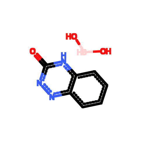 O=c1nnc2ccccc2[nH]1.OBO